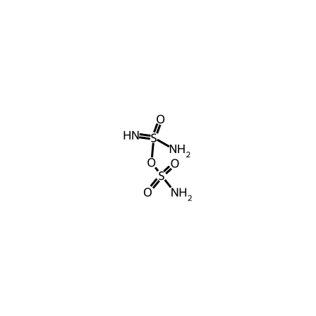 N=S(N)(=O)OS(N)(=O)=O